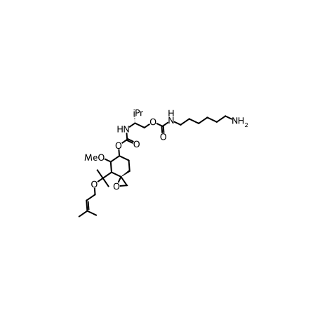 COC1C(OC(=O)N[C@@H](COC(=O)NCCCCCCN)C(C)C)CC[C@]2(CO2)C1C(C)(C)OCC=C(C)C